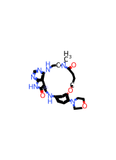 CN1CCNc2ncnc3c2/C(=C/Nc2ccc(N4CCOCC4)c(c2)OCCCC1=O)C(=O)N3